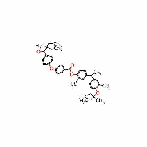 CCC(C)(CC)Oc1ccc(C(C)c2ccc(OC(=O)c3ccc(Oc4ccc(C(=O)C(C)(CC)CC)cc4)cc3)c(C)c2)cc1C